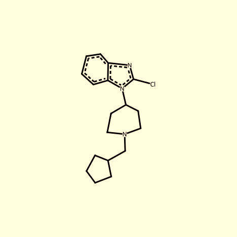 Clc1nc2ccccc2n1C1CCN(CC2CCCC2)CC1